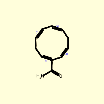 NC(=O)C1=C/C/C=C\C=C/C/C=C\1